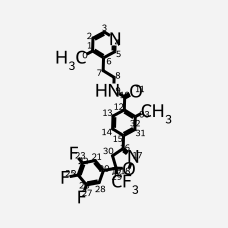 Cc1ccncc1CCNC(=O)c1ccc(C2=NOC(c3cc(F)c(F)c(F)c3)(C(F)(F)F)C2)cc1C